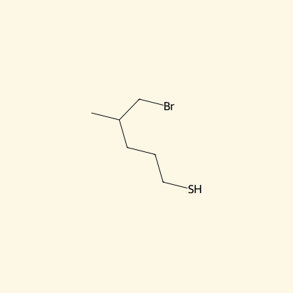 CC(CBr)CCCS